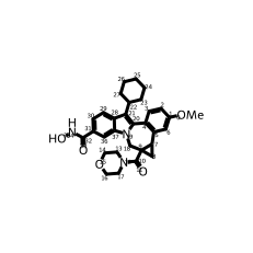 COc1ccc2c(c1)C1CC1(C(=O)N1CCOCC1)Cn1c-2c(C2CCCCC2)c2ccc(C(=O)NO)cc21